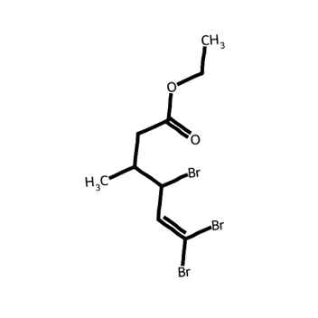 CCOC(=O)CC(C)C(Br)C=C(Br)Br